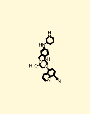 C[C@@H]1CN(c2ccc(C#N)c3ncccc23)C[C@@H]2c3ccc(N[C@@H]4CCCNC4)cc3CN12